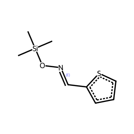 C[Si](C)(C)O/N=C/c1cccs1